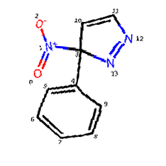 O=[N+]([O-])C1(c2ccccc2)C=CN=N1